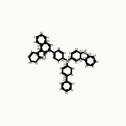 C1=Cc2c(oc3c(C4=CCC(N(C5=CC6c7ccccc7SC6C=C5)C5=CC=C(c6ccccc6)CC5)C=C4)cc4ccccc4c23)CC1